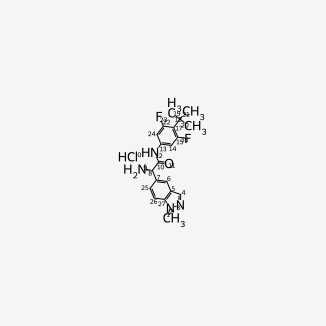 Cl.Cn1ncc2cc([C@@H](N)C(=O)Nc3cc(F)c(C(C)(C)C)c(F)c3)ccc21